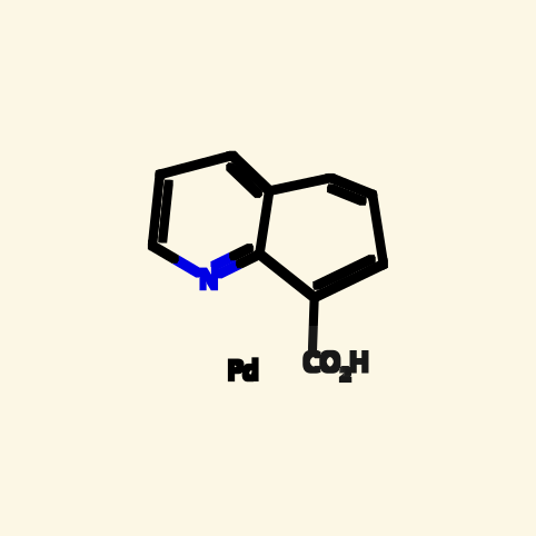 O=C(O)c1cccc2cccnc12.[Pd]